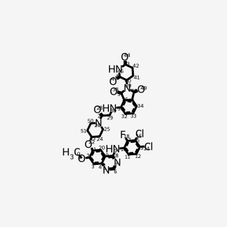 COc1cc2ncnc(Nc3ccc(Cl)c(Cl)c3F)c2cc1OC1CCN(C(=O)CNc2cccc3c2C(=O)N(C2CCC(=O)NC2=O)C3=O)CC1